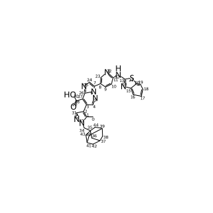 Cc1c(-c2cnn3c(-c4ccc(Nc5nc6ccccc6s5)nc4)cnc3c2C(=O)O)cnn1CC12CC3CC(CC(C3)C1)C2